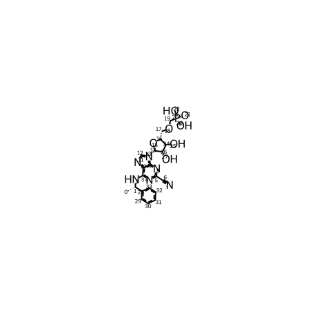 C[C@H](Nc1nc(C#N)nc2c1ncn2[C@@H]1O[C@H](COCP(=O)(O)O)[C@@H](O)[C@H]1O)c1ccccc1